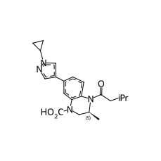 CC(C)CC(=O)N1c2ccc(-c3cnn(C4CC4)c3)cc2N(C(=O)O)C[C@@H]1C